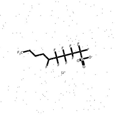 O=S(=O)([O-])C(F)(F)C(F)(F)C(F)(F)C(F)(F)C(F)CCCC(F)(F)F.[Li+]